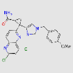 COc1ccc(Cn2cnc(C3(c4ccc5nc(Cl)cc(Cl)c5n4)CC3C(N)=O)c2)cc1